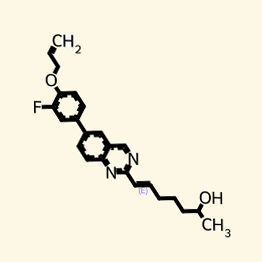 C=CCOc1ccc(-c2ccc3nc(/C=C/CCCC(C)O)ncc3c2)cc1F